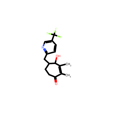 CC1=C(C)C(O)C(Cc2ccc(C(F)(F)F)cn2)CCC1=O